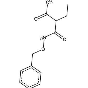 CCC(C(=O)O)C(=O)NOCc1ccccc1